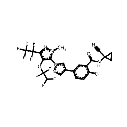 Cn1nc(C(F)(F)C(F)(F)F)c(OC(F)(F)C(F)F)c1-n1cc(-c2ccc(Cl)c(C(=O)NC3(C#N)CC3)c2)cn1